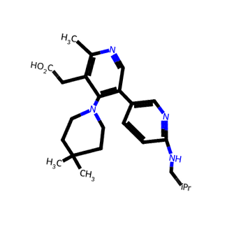 Cc1ncc(-c2ccc(NCC(C)C)nc2)c(N2CCC(C)(C)CC2)c1CC(=O)O